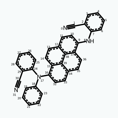 N#Cc1ccccc1Nc1ccc2ccc3c(N(c4ccccc4)c4ccccc4C#N)ccc4ccc1c2c43